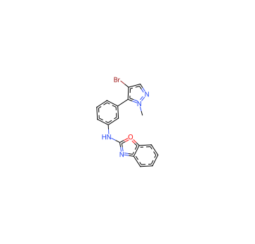 Cn1ncc(Br)c1-c1cccc(Nc2nc3ccccc3o2)c1